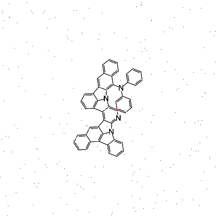 c1ccc(N(c2ccccc2)c2c3ccccc3cc3c4cccc5c6c7c8cc9ccccc9c9c%10ccccc%10n(c7ncc6n(c23)c45)c89)cc1